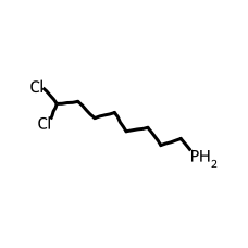 PCCCCCCCC(Cl)Cl